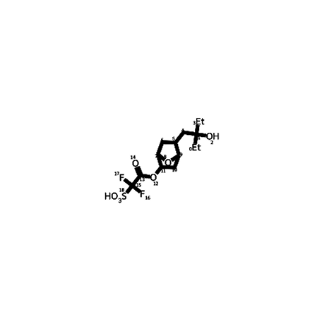 CCC(O)(CC)CC1CC2OC1CC2OC(=O)C(F)(F)S(=O)(=O)O